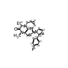 CCC1C(=O)N(C)c2cnc(-n3ccnc3-c3ccc(F)cc3)nc2N1CC1CC1